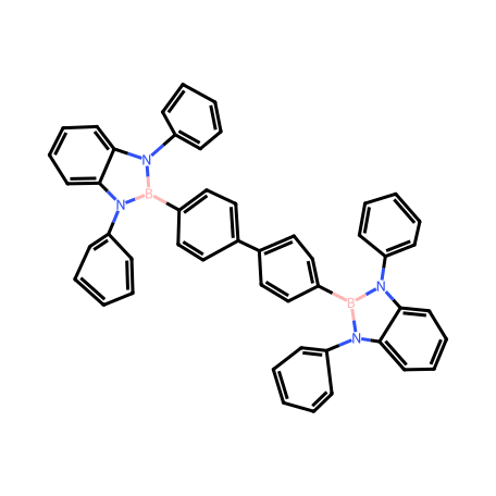 c1ccc(N2B(c3ccc(-c4ccc(B5N(c6ccccc6)c6ccccc6N5c5ccccc5)cc4)cc3)N(c3ccccc3)c3ccccc32)cc1